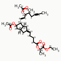 CC#CCC(C)[C@@H](C=C[C@@H]1[C@H]2CC(=CCCCC(=O)O[C@H](C)C(=O)OCC)C[C@H]2C[C@H]1OC(C)=O)OC(C)=O